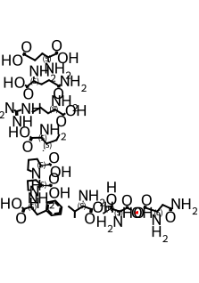 CC(C)[C@H](N)C(=O)O.CC[C@H](C)[C@H](N)C(=O)O.C[C@@H](O)[C@H](N)C(=O)O.N=C(N)NCCC[C@H](N)C(=O)O.NC(=O)CC[C@H](N)C(=O)O.NC(=O)C[C@H](N)C(=O)O.N[C@@H](CCC(=O)O)C(=O)O.N[C@@H](Cc1ccccc1)C(=O)O.O=C(O)[C@@H]1CCCN1.O=C(O)[C@@H]1CCCN1